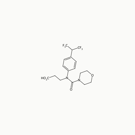 O=C(O)CCN(C(=O)N1CCOCC1)c1ccc(C(C(F)(F)F)C(F)(F)F)cc1